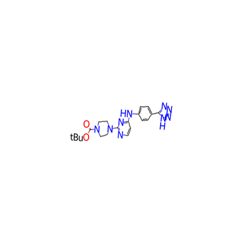 CC(C)(C)OC(=O)N1CCN(c2nccc(Nc3ccc(-c4nnn[nH]4)cc3)n2)CC1